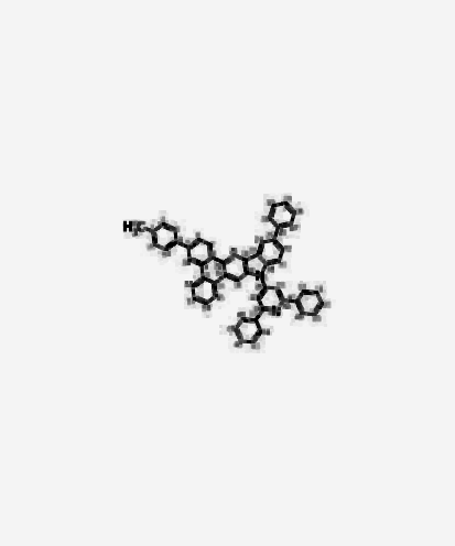 Cc1ccc(-c2ccc3c(c2)c2ccccc2c2cc4c(cc32)c2cc(-c3ccccc3)ccc2n4-c2cc(-c3ccccc3)nc(-c3ccccc3)c2)cc1